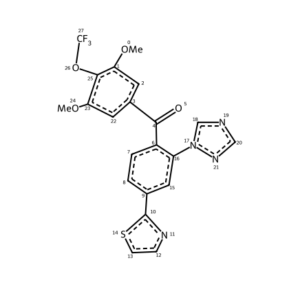 COc1cc(C(=O)c2ccc(-c3nccs3)cc2-n2cncn2)cc(OC)c1OC(F)(F)F